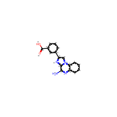 Nc1nc2ccccc2n2cc(-c3cccc(C(=O)O)c3)nc12